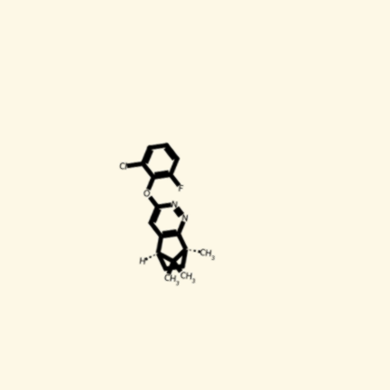 CC1(C)[C@H]2CC[C@]1(C)c1nnc(Oc3c(F)cccc3Cl)cc12